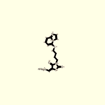 CCCCCCC/C=C1/SC(=O)N(CCCCSc2cccc3nccn23)C1=O